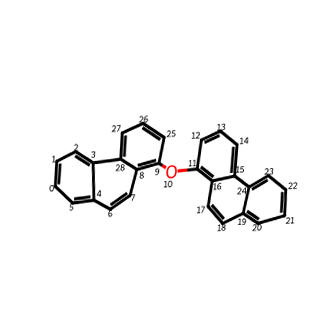 c1ccc2c(c1)ccc1c(Oc3cccc4c3ccc3ccccc34)cccc12